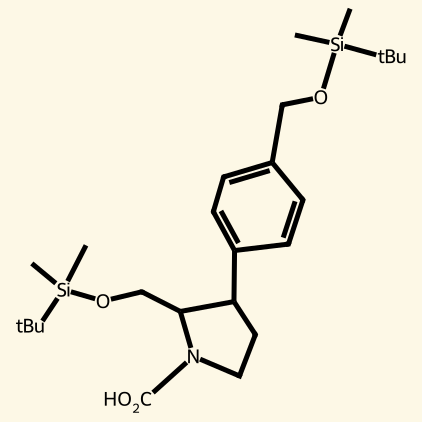 CC(C)(C)[Si](C)(C)OCc1ccc(C2CCN(C(=O)O)C2CO[Si](C)(C)C(C)(C)C)cc1